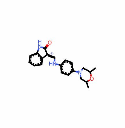 CC1CN(c2ccc(N/C=C3/C(=O)Nc4ccccc43)cc2)CC(C)O1